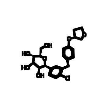 OC[C@H]1O[C@@H](c2ccc(Cl)c(Cc3ccc(O[C@H]4CCOC4)cc3)c2)[C@@H](O)[C@@H](O)[C@@H]1O